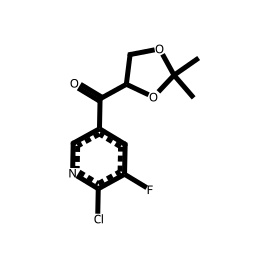 CC1(C)OCC(C(=O)c2cnc(Cl)c(F)c2)O1